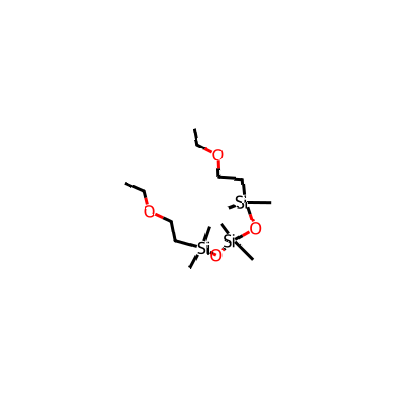 CCOCC[Si](C)(C)O[Si](C)(C)O[Si](C)(C)CCOCC